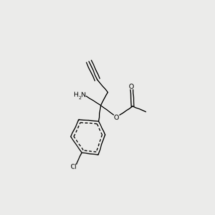 C#CCC(N)(OC(C)=O)c1ccc(Cl)cc1